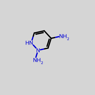 NC1=CN(N)NC=C1